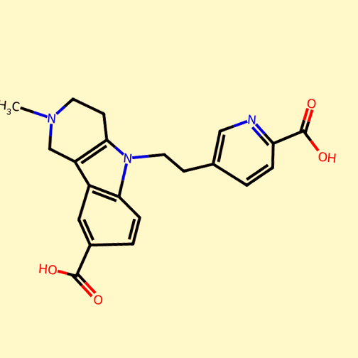 CN1CCc2c(c3cc(C(=O)O)ccc3n2CCc2ccc(C(=O)O)nc2)C1